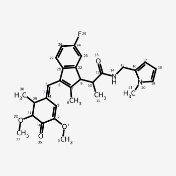 COC1=C/C(=C\C2=C(C)C(C(C)C(=O)NCc3cccn3C)c3cc(F)ccc32)C(C)C(OC)C1=O